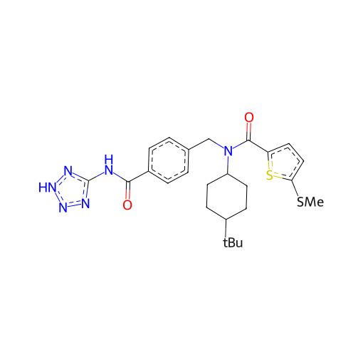 CSc1ccc(C(=O)N(Cc2ccc(C(=O)Nc3nn[nH]n3)cc2)C2CCC(C(C)(C)C)CC2)s1